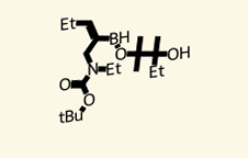 CC/C=C(/BOC(C)(C)C(C)(O)CC)CN(CC)C(=O)OC(C)(C)C